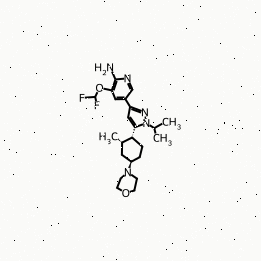 CC(C)n1nc(-c2cnc(N)c(OC(F)F)c2)cc1[C@@H]1CC[C@@H](N2CCOCC2)C[C@@H]1C